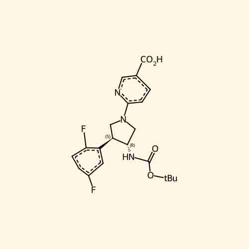 CC(C)(C)OC(=O)N[C@H]1CN(c2ccc(C(=O)O)cn2)C[C@@H]1c1cc(F)ccc1F